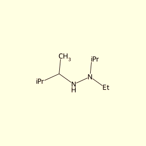 CCN(NC(C)C(C)C)C(C)C